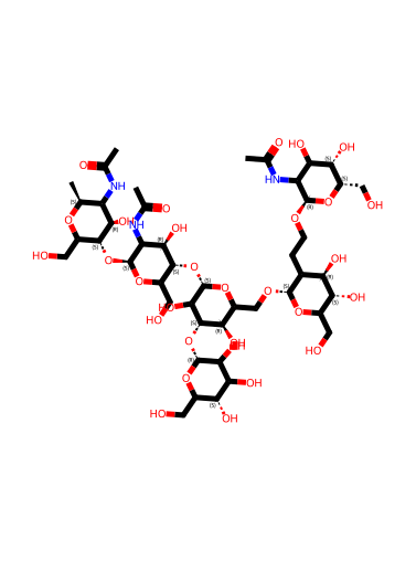 CC(=O)NC1C(O)[C@H](O)[C@H](CO)O[C@H]1OCCC1[C@@H](OCC2O[C@@H](O[C@@H]3C(CO)O[C@@H](O[C@@H]4C(CO)O[C@@H](C)C(NC(C)=O)[C@H]4O)C(NC(C)=O)[C@H]3O)C(O)[C@@H](O[C@H]3OC(CO)[C@@H](O)C(O)C3O)[C@@H]2O)OC(CO)[C@@H](O)[C@@H]1O